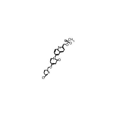 CS(=O)(=O)OCc1ccc2cc(-n3ccc(OCc4ccc(Cl)cn4)cc3=O)ccc2n1